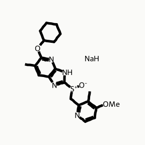 COc1ccnc(C[S+]([O-])c2nc3cc(C)c(OC4CCCCC4)nc3[nH]2)c1C.[NaH]